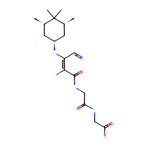 C[C@@H]1[C@@H](C)C(C)(C)[C@@H](C)C[C@H]1N/C(C=N)=C(\Br)C(=O)NCC(=O)NCC(=O)O